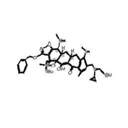 Cc1cc(CN(CC(C)(C)C)C2CC2)c(N(C)C)c2c1C(=O)C1=C(O)[C@]3(O[Si](C)(C)C(C)(C)C)C(=O)c4c(OCc5ccccc5)noc4[C@@H](N(C)C)[C@@H]3C[C@@H]1C2